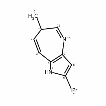 CC1C=Cc2[nH]c(C(C)C)cc2N=C1